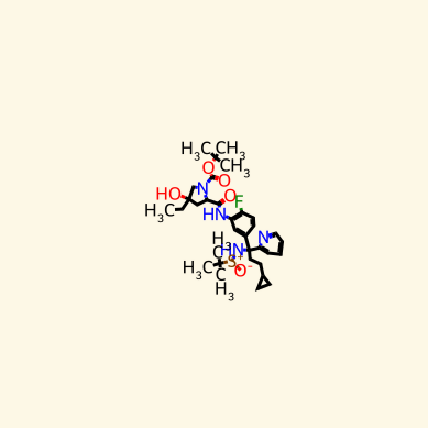 CCC1(O)CC(C(=O)Nc2cc(C(CCC3CC3)(N[S+]([O-])C(C)(C)C)c3ccccn3)ccc2F)N(C(=O)OC(C)(C)C)C1